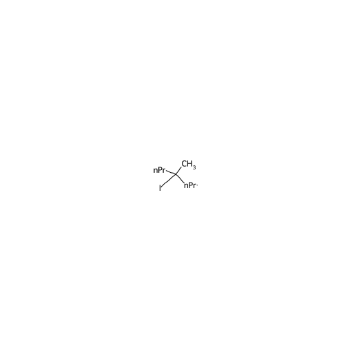 CC[CH]C(C)(I)CCC